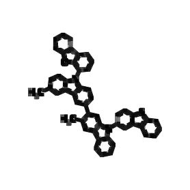 Cc1ccc2c(c1)c1cc(-c3cc4c(cc3C)c3ccccc3n4-c3ccc4sc5ccccc5c4c3)ccc1n2-c1cccc2c1oc1ccccc12